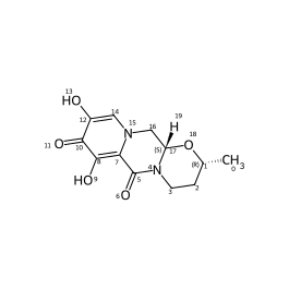 C[C@@H]1CCN2C(=O)c3c(O)c(=O)c(O)cn3C[C@@H]2O1